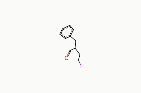 O=CC(CCI)Cc1ccccc1